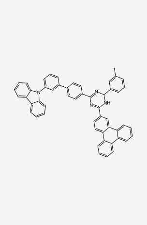 Cc1cccc(C2N=C(c3ccc(-c4cccc(-n5c6ccccc6c6ccccc65)c4)cc3)N=C(c3ccc4c5ccccc5c5ccccc5c4c3)N2)c1